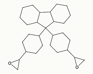 C1CCC2C(C1)C1CCCCC1C2(C1CCC(C2CO2)CC1)C1CCC(C2CO2)CC1